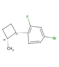 C[C@@H]1CC[C@@H]1c1ccc(Br)cc1F